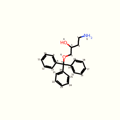 NCCC(O)COC(c1ccccc1)(c1ccccc1)c1ccccc1